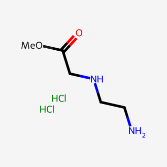 COC(=O)CNCCN.Cl.Cl